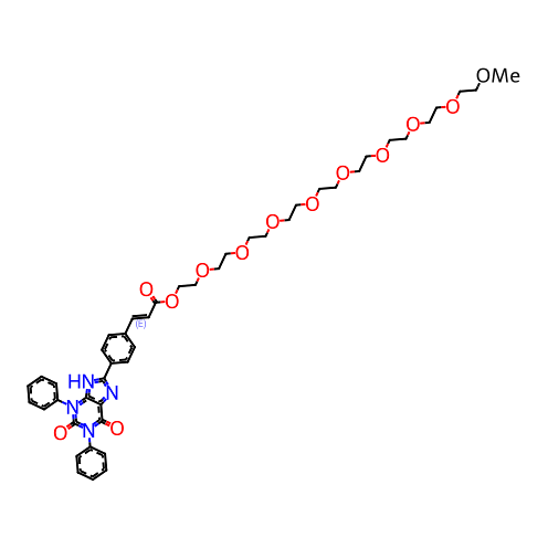 COCCOCCOCCOCCOCCOCCOCCOCCOCCOC(=O)/C=C/c1ccc(-c2nc3c(=O)n(-c4ccccc4)c(=O)n(-c4ccccc4)c3[nH]2)cc1